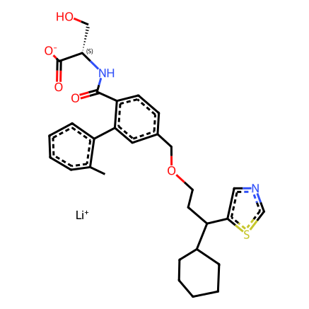 Cc1ccccc1-c1cc(COCCC(c2cncs2)C2CCCCC2)ccc1C(=O)N[C@@H](CO)C(=O)[O-].[Li+]